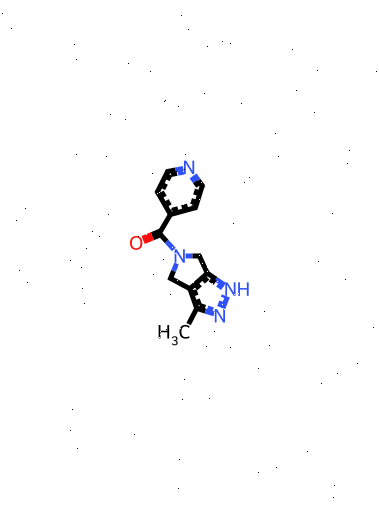 Cc1n[nH]c2c1CN(C(=O)c1ccncc1)C2